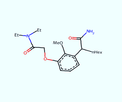 CCCCCCC(C(N)=O)c1cccc(OCC(=O)N(CC)CC)c1OC